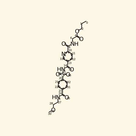 CCCOC(=O)CNC(=O)c1ccc(C(=O)NS(=O)(=O)c2ccc(C(=O)NCCOC)cc2)cn1